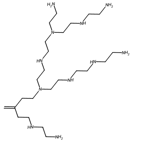 C=C(CCNCCN)CCN(CCNCCNCCN)CCNCCN(CCN)CCNCCN